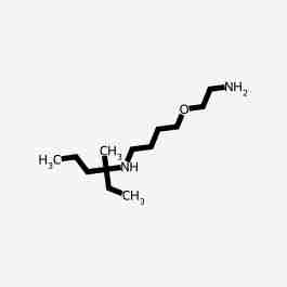 CCCC(C)(CC)NCCCCOCCN